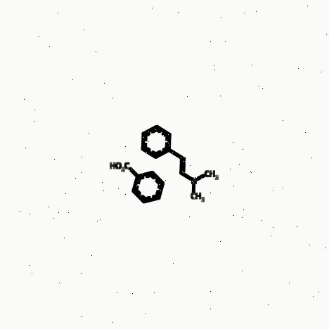 CN(C)C=Cc1ccccc1.O=C(O)c1ccccc1